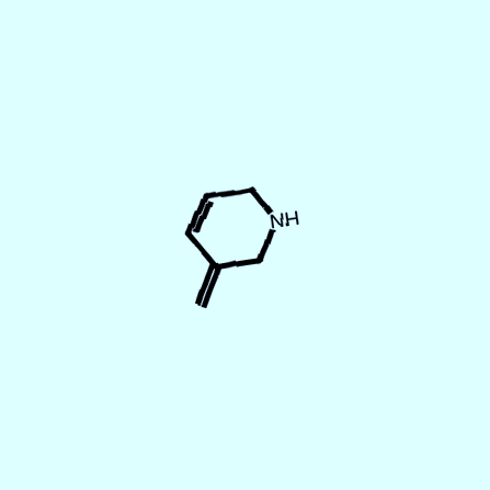 C=C1C=CCNC1